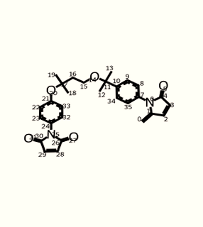 C=C1C=CC(=O)N1c1ccc(C(C)(C)OCCC(C)(C)Oc2ccc(N3C(=O)C=CC3=O)cc2)cc1